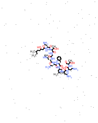 CCC(C)CCC(O)CC(=O)N[C@@H](CCN)C(=O)NC(C(=O)NCC(=O)N[C@@H](CCNC)C(=O)N[C@@H](CCN)C(=O)N[C@H](Cc1ccccc1)C(=O)NC(CC(C)C)C(=O)NC(CCN)C(=O)NC(CCN)C(=O)NC(C=O)C(C)O)C(C)O